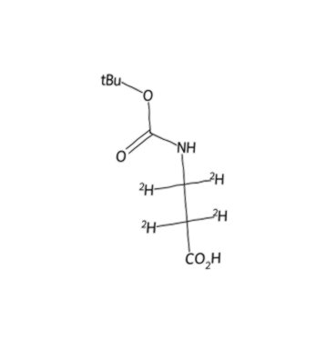 [2H]C([2H])(NC(=O)OC(C)(C)C)C([2H])([2H])C(=O)O